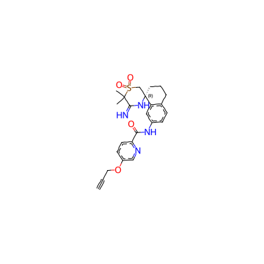 C#CCOc1ccc(C(=O)Nc2ccc3c(c2)[C@]2(CCC3)CS(=O)(=O)C(C)(C)C(=N)N2)nc1